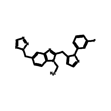 CCn1c(Cc2ccnn2-c2cccc(F)c2)nc2cc(Cn3ncnn3)ccc21